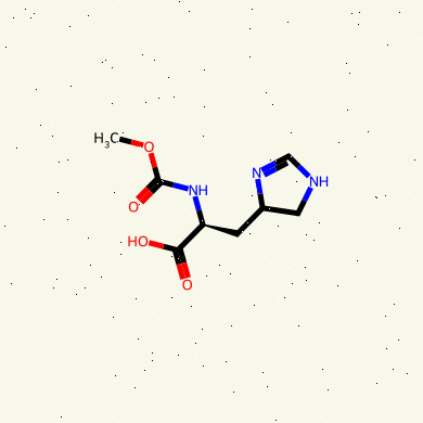 COC(=O)N[C@@H](CC1CNC=N1)C(=O)O